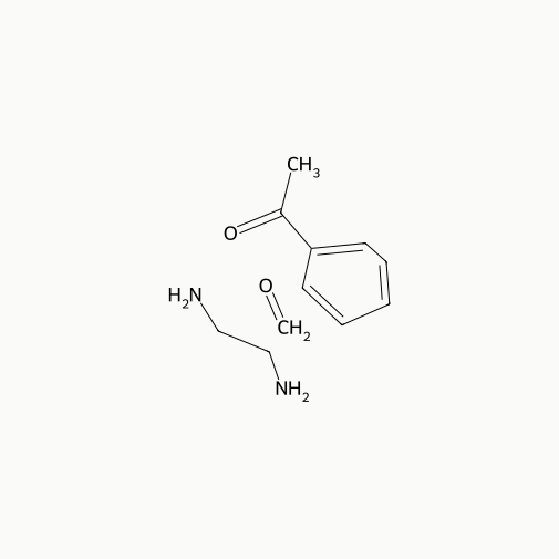 C=O.CC(=O)c1ccccc1.NCCN